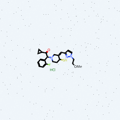 COCCn1ccc(C=C2CN(C(C(=O)C3CC3)c3ccccc3F)CCC2S)n1.Cl